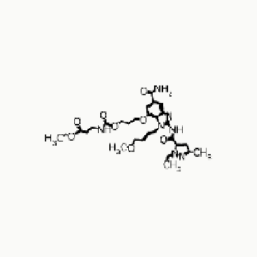 CCOC(=O)CCNC(=O)OCCCOc1cc(C(N)=O)cc2nc(NC(=O)c3cc(C)nn3CC)n(C/C=C/COC)c12